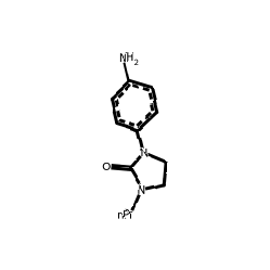 CCCN1CCN(c2ccc(N)cc2)C1=O